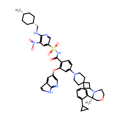 C[C@@]1(c2ccccc2C2CC2)COCCN1C1CC2(CCN(c3ccc(C(=O)NS(=O)(=O)c4cnc(NC[C@H]5CC[C@@H](C)CC5)c([N+](=O)[O-])c4)c(Oc4cnc5[nH]ccc5c4)c3)CC2)C1